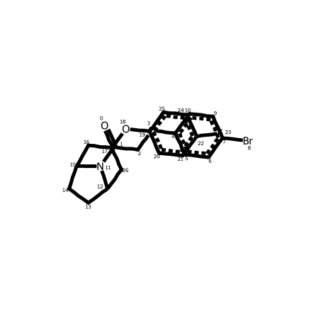 O=C(COc1ccc(Br)cc1)N1C2CCC1CC(Oc1ccc(F)cc1)C2